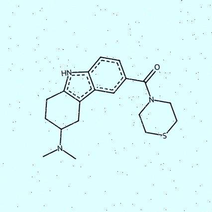 CN(C)C1CCc2[nH]c3ccc(C(=O)N4CCSCC4)cc3c2C1